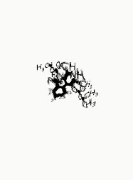 CCOC(=O)OC1=C(C)NC(C)=C(OC(=O)OC(C)C)C1c1ccccc1C(F)(F)F